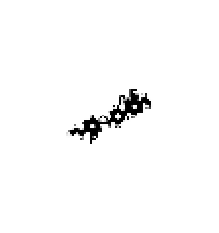 CCCc1ccc(OCC2CCC(c3ccc(CC)c(F)c3F)CC2)cc1F